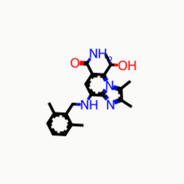 Cc1cccc(C)c1CNc1cc(C(N)=O)c(C(C)O)n2c(C)c(C)nc12